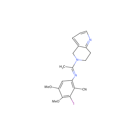 COc1cc(N=C(C)N2CCc3ncccc3C2)c(C#N)c(I)c1OC